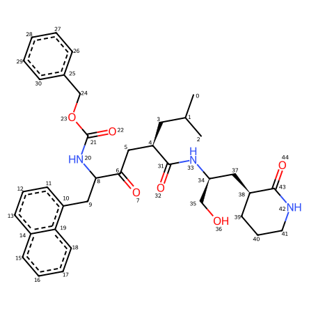 CC(C)C[C@H](CC(=O)C(Cc1cccc2ccccc12)NC(=O)OCc1ccccc1)C(=O)N[C@H](CO)C[C@@H]1CCCNC1=O